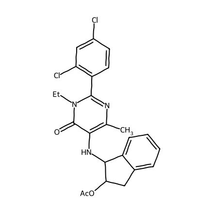 CCn1c(-c2ccc(Cl)cc2Cl)nc(C)c(NC2c3ccccc3CC2OC(C)=O)c1=O